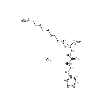 CCCCCCCCCCCCCCCCCCOC[C@H](COC(=O)NCC[n+]1ccccc1)OC.[Cl-]